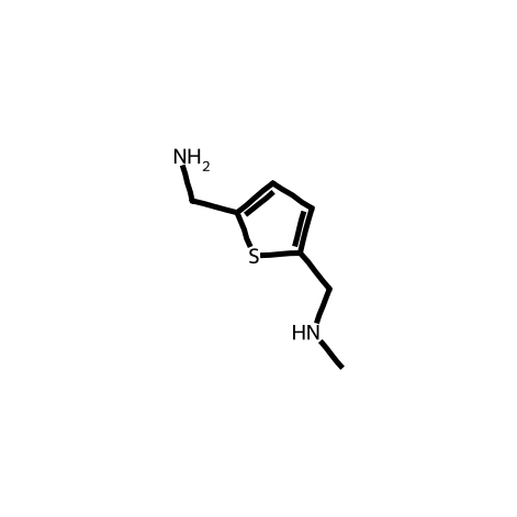 CNCc1ccc(CN)s1